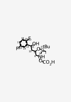 CC(C)(C)[Si](C)(C)OC(CNOC(=O)O)CC(O)c1cc(F)ccc1F